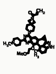 C=CC(=O)N1CC2(CCN(c3nc(C4CCN(C)CC4)nc4c(OCCOC)c(-c5c(C)ccc6[nH]ncc56)c(C5CC5)cc34)CC2)C1